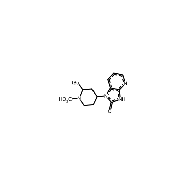 CC(C)(C)C1CC(n2c(=O)[nH]c3ncccc32)CCN1C(=O)O